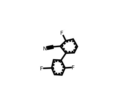 N#Cc1c(F)cccc1-c1cc(F)ccc1F